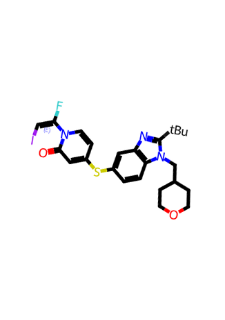 CC(C)(C)c1nc2cc(Sc3ccn(/C(F)=C\I)c(=O)c3)ccc2n1CC1CCOCC1